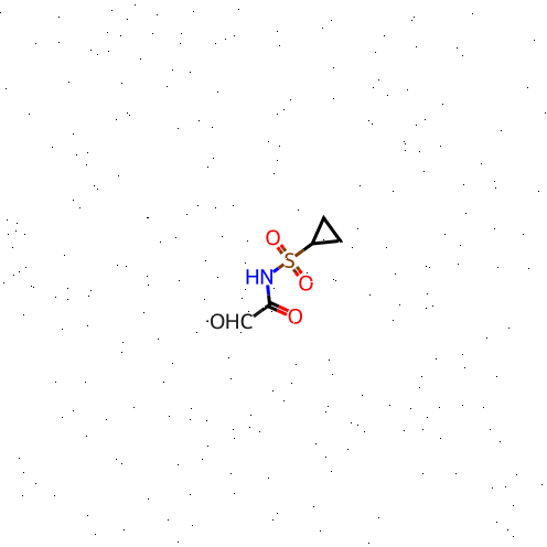 O=[C]C(=O)NS(=O)(=O)C1CC1